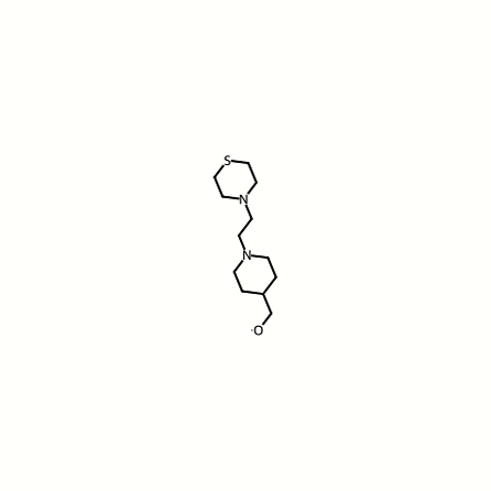 [O]CC1CCN(CCN2CCSCC2)CC1